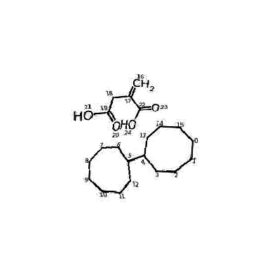 C1CCCC(C2CCCCCCC2)CCC1.C=C(CC(=O)O)C(=O)O